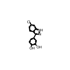 Oc1ccc(-c2n[nH]c3cc(Cl)ccc23)cc1O